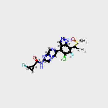 CC(c1c(F)c(Cl)c(-c2cn3cc(NC(=O)C4CC4F)nc3cn2)c2cn[nH]c12)[S+](C)[O-]